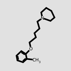 Cc1ccccc1OCCCCCN1CCCCC1